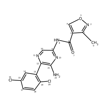 Cc1nocc1C(=O)Nc1cnc(-c2cc(Cl)ccc2Cl)c(N)n1